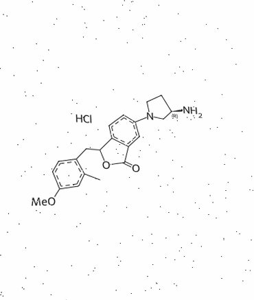 COc1ccc(CC2OC(=O)c3cc(N4CC[C@@H](N)C4)ccc32)c(C)c1.Cl